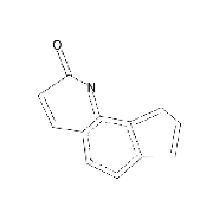 O=C1C=Cc2ccc3c(c2=N1)=CC=C3